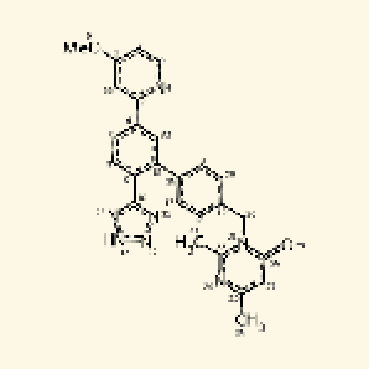 COc1ccnc(-c2ccc(-c3nn[nH]n3)c(-c3ccc(Cn4c(C)nc(C)cc4=O)cc3)c2)c1